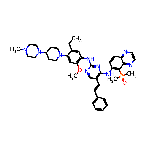 CCc1cc(Nc2ncc(/C=C/c3ccccc3)c(Nc3ccc4nccnc4c3P(C)(C)=O)n2)c(OC)cc1N1CCC(N2CCN(C)CC2)CC1